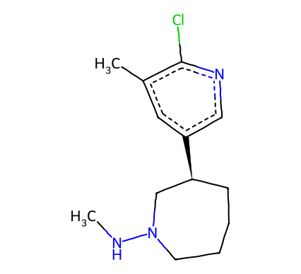 CNN1CCCC[C@H](c2cnc(Cl)c(C)c2)C1